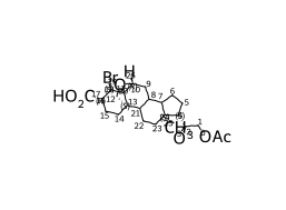 CC(=O)OCC(=O)[C@H]1CCC2C3C[C@H]4OC[C@@]5(CC[C@H](C(=O)O)[C@@H](Br)C45)C3CC[C@@]21C